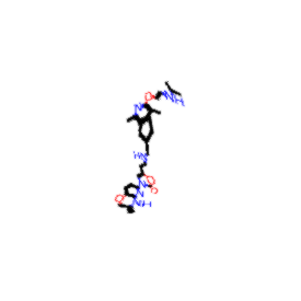 C=C1COc2ccc(N3CC(CCNCC4Cc5c(C)nc(OCCNC(C)C)c(C)c5C4)OC3=O)nc2N1